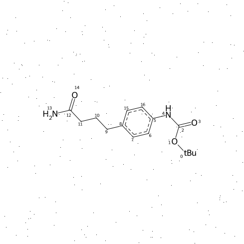 CC(C)(C)OC(=O)Nc1ccc(CCCC(N)=O)cc1